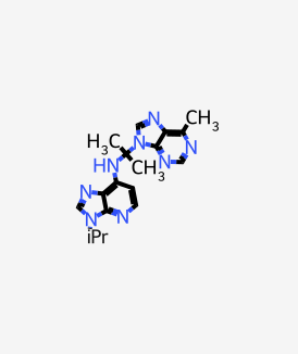 Cc1ncnc2c1ncn2C(C)(C)Nc1ccnc2c1ncn2C(C)C